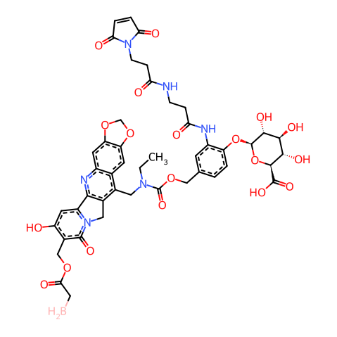 BCC(=O)OCc1c(O)cc2n(c1=O)Cc1c-2nc2cc3c(cc2c1CN(CC)C(=O)OCc1ccc(O[C@@H]2O[C@H](C(=O)O)[C@@H](O)[C@H](O)[C@H]2O)c(NC(=O)CCNC(=O)CCN2C(=O)C=CC2=O)c1)OCO3